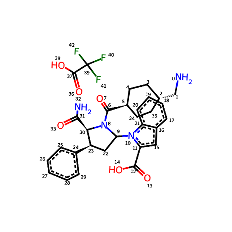 NC[C@H]1CC[C@H](C(=O)N2C(n3c(C(=O)O)cc4ccccc43)C[C@@H](c3ccccc3)[C@H]2C(N)=O)CC1.O=C(O)C(F)(F)F